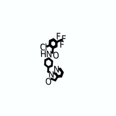 O=C(NC1CCC(CN2C(=O)Cc3cccnc32)CC1)c1cc(C(F)(F)F)ccc1Cl